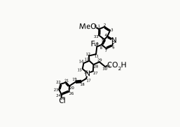 COc1ccc2nccc([C@@H](F)CCC3CCN(CC#Cc4cccc(Cl)c4)CC3CCC(=O)O)c2c1